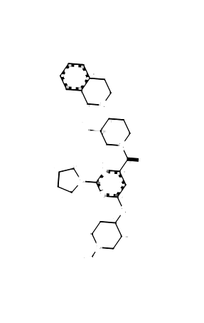 CC(=O)N1CCC(Nc2cc(C(=O)N3CC[C@@H](N4CCc5ccccc5C4)[C@H](O)C3)nc(N3CCCC3)n2)CC1